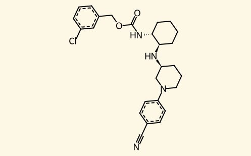 N#Cc1ccc(N2CCC[C@H](N[C@@H]3CCCC[C@H]3NC(=O)OCc3cccc(Cl)c3)C2)cc1